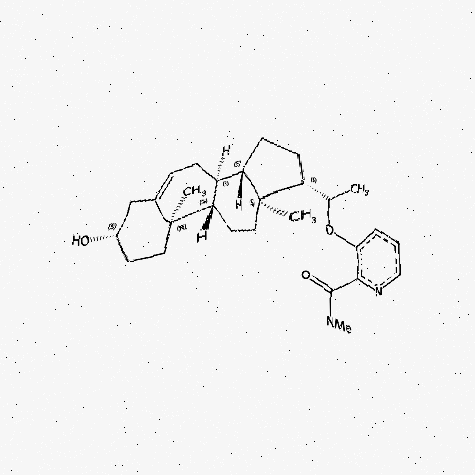 CNC(=O)c1ncccc1OC(C)[C@H]1CC[C@H]2[C@@H]3CC=C4C[C@@H](O)CC[C@]4(C)[C@H]3CC[C@]12C